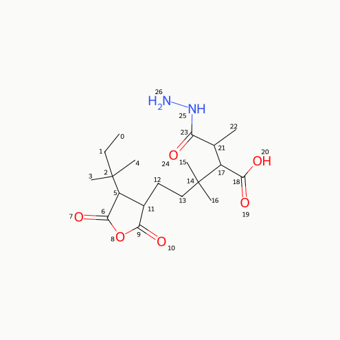 CCC(C)(C)C1C(=O)OC(=O)C1CCC(C)(C)C(C(=O)O)C(C)C(=O)NN